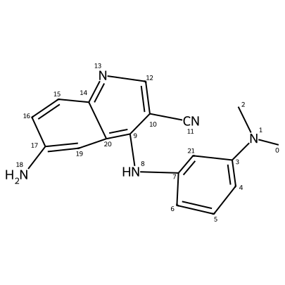 CN(C)c1cccc(Nc2c(C#N)cnc3ccc(N)cc23)c1